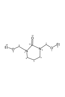 CCOCN1CCCN(COCC)C1=O